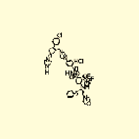 CC1(CN2CCNCC2)CCC(c2ccc(Cl)cc2)=C(CN2CCN(c3ccc(C(=O)NS(=O)(=O)c4ccc(NC(CCN5CCOCC5)CSc5ccccc5)c(S(=O)(=O)C(F)(F)F)c4)cc3)CC2)C1.Cl